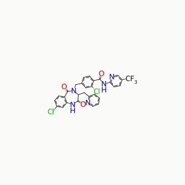 O=C(Nc1ccc(C(F)(F)F)cn1)c1ccc(CN2C(=O)c3ccc(Cl)cc3NC(=O)C2Cc2ccccn2)cc1Cl